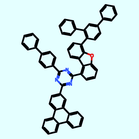 c1ccc(-c2ccc(-c3nc(-c4ccc5c6ccccc6c6ccccc6c5c4)nc(-c4cccc5oc6c(-c7ccc(-c8ccccc8)cc7-c7ccccc7)cccc6c45)n3)cc2)cc1